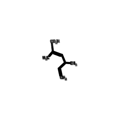 C=CC(C)C=C(C)C(=O)O